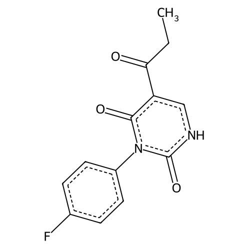 CCC(=O)c1c[nH]c(=O)n(-c2ccc(F)cc2)c1=O